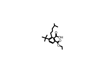 CCOC(=O)c1ccc(C(C)(C)C)c(CCCC(C)C)c1C(=O)O